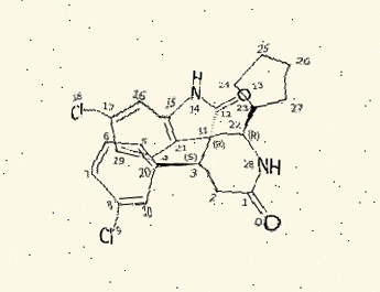 O=C1C[C@@H](c2cccc(Cl)c2)[C@]2(C(=O)Nc3cc(Cl)ccc32)[C@@H](C2CCCC2)N1